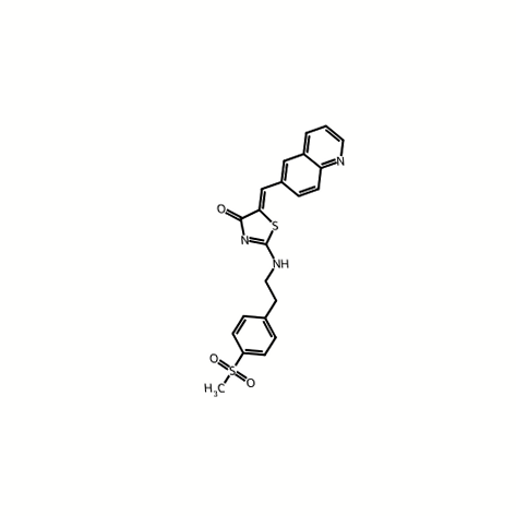 CS(=O)(=O)c1ccc(CCNC2=NC(=O)/C(=C/c3ccc4ncccc4c3)S2)cc1